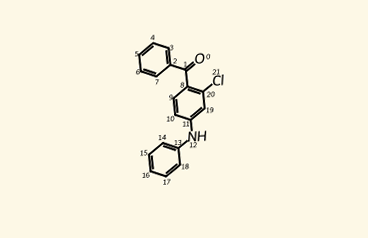 O=C(c1ccccc1)c1ccc(Nc2ccccc2)cc1Cl